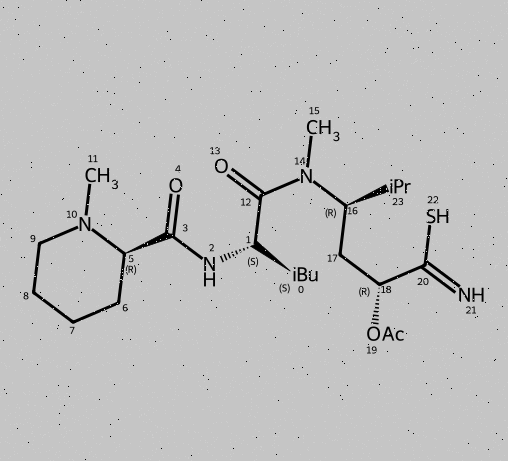 CC[C@H](C)[C@H](NC(=O)[C@H]1CCCCN1C)C(=O)N(C)[C@H](C[C@@H](OC(C)=O)C(=N)S)C(C)C